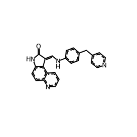 O=C1Nc2ccc3ncccc3c2/C1=C\Nc1ccc(Cc2ccncc2)cc1